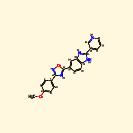 COc1ccc(-c2noc(-c3ccc4[nH]c(-c5cccnc5)nc4c3)n2)cc1